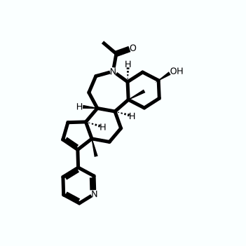 CC(=O)N1CC[C@@H]2[C@H](CC[C@]3(C)C(c4cccnc4)=CC[C@@H]23)[C@@]2(C)CC[C@H](O)C[C@H]12